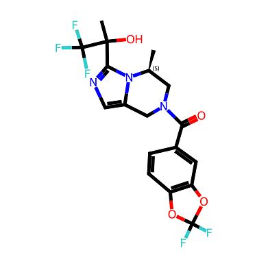 C[C@H]1CN(C(=O)c2ccc3c(c2)OC(F)(F)O3)Cc2cnc(C(C)(O)C(F)(F)F)n21